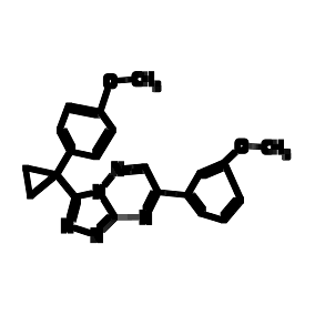 COc1ccc(C2(c3nnc4nc(-c5cccc(OC)c5)cnn34)CC2)cc1